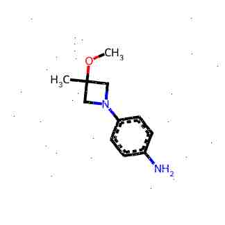 COC1(C)CN(c2ccc(N)cc2)C1